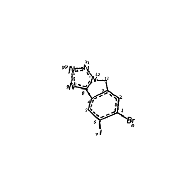 Brc1cc2c(cc1I)-c1nnnn1C2